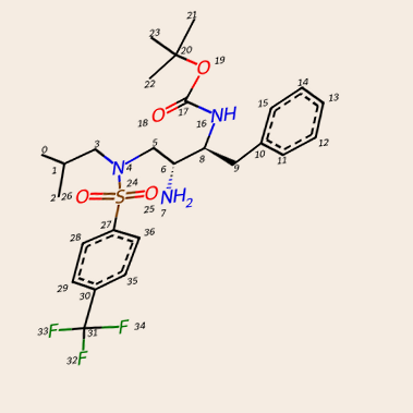 CC(C)CN(C[C@@H](N)[C@H](Cc1ccccc1)NC(=O)OC(C)(C)C)S(=O)(=O)c1ccc(C(F)(F)F)cc1